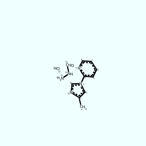 Cc1cn(-c2ccccn2)cn1.Cl.NNC=O